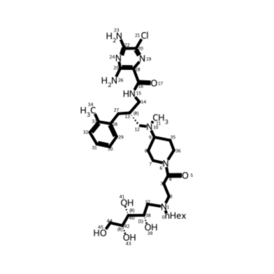 CCCCCCN(CCC(=O)N1CCC(N(C)C[C@@H](CNC(=O)c2nc(Cl)c(N)nc2N)Cc2ccccc2C)CC1)C[C@H](O)[C@@H](O)[C@H](O)CO